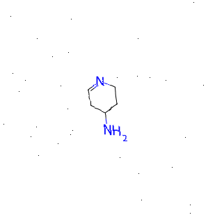 NC1CC=NCC1